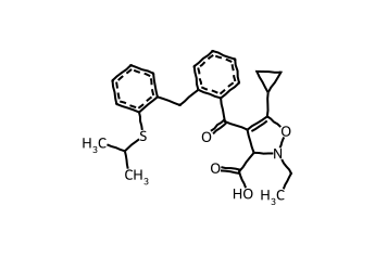 CCN1OC(C2CC2)=C(C(=O)c2ccccc2Cc2ccccc2SC(C)C)C1C(=O)O